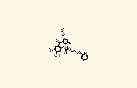 C=C1C[C@@H](/C=N/OC)N(C(=O)c2cc(OC)c(O)cc2NC(=O)OCCSSc2ccccn2)C1